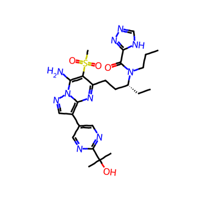 CCCN(C(=O)c1nnc[nH]1)[C@H](CC)CCc1nc2c(-c3cnc(C(C)(C)O)nc3)cnn2c(N)c1S(C)(=O)=O